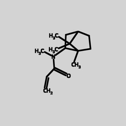 C=CC(=O)N(C)C1CC2CCC1(C)C2(C)C